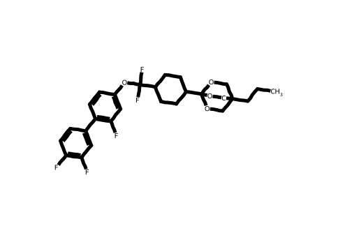 CCCC12COC(C3CCC(C(F)(F)Oc4ccc(-c5ccc(F)c(F)c5)c(F)c4)CC3)(OC1)OC2